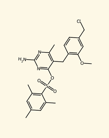 COc1cc(CCl)ccc1Cc1c(C)nc(N)nc1OS(=O)(=O)c1c(C)cc(C)cc1C